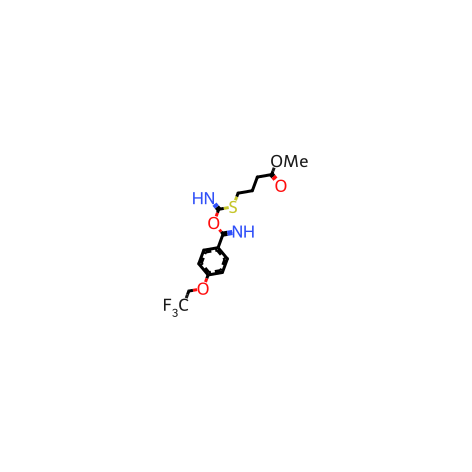 COC(=O)CCCSC(=N)OC(=N)c1ccc(OCC(F)(F)F)cc1